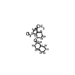 Cn1cc(C=O)c2c(Oc3ccc4ccccc4c3)cccc21